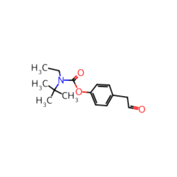 CCN(C(=O)Oc1ccc(CC=O)cc1)C(C)(C)C